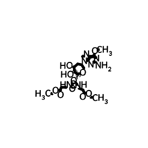 CCOC(=O)CCNP(=O)(NCCC(=O)OCC)OC[C@H]1OCC(n2cnc3c(OC)nc(N)nc32)CC(O)[C@H]1O